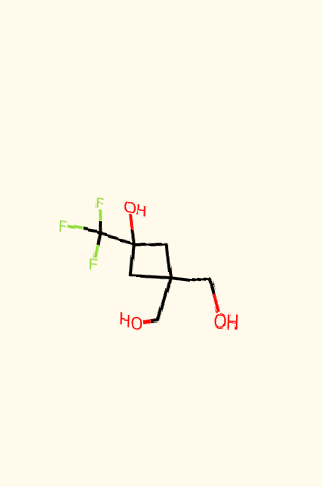 OCC1(CO)CC(O)(C(F)(F)F)C1